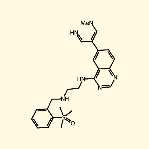 CN/C=C(\C=N)c1ccc2ncnc(NCCNCc3ccccc3S(C)(C)(C)=O)c2c1